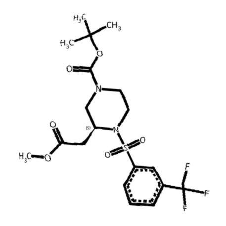 COC(=O)C[C@H]1CN(C(=O)OC(C)(C)C)CCN1S(=O)(=O)c1cccc(C(F)(F)F)c1